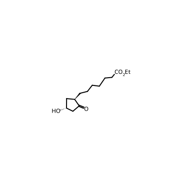 CCOC(=O)CCCCCC[C@@H]1C[C@@H](O)CC1=O